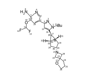 CCC(C)n1nc(-c2cnc(N)c(OC(F)F)c2)cc1[C@H]1[C@@H]2C[C@H](N3CC4(CCCO4)C3)C[C@@H]21